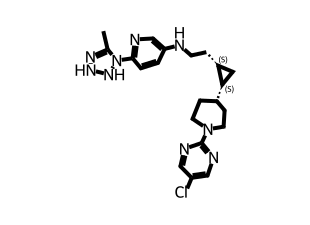 CC1=NNNN1c1ccc(NCC[C@@H]2C[C@@H]2C2CCN(c3ncc(Cl)cn3)CC2)cn1